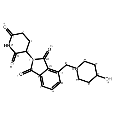 O=C1CCC(N2C(=O)c3cccc(CN4CCC(O)CC4)c3C2=O)C(=O)N1